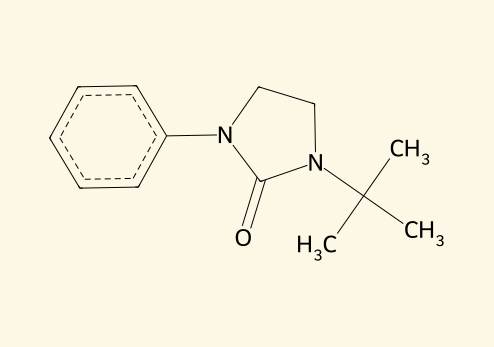 CC(C)(C)N1CCN(c2ccccc2)C1=O